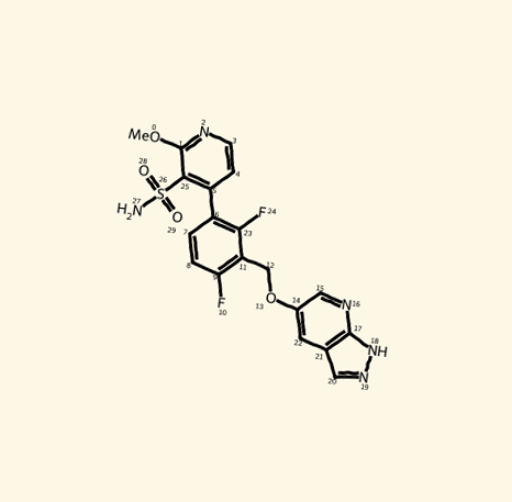 COc1nccc(-c2ccc(F)c(COc3cnc4[nH]ncc4c3)c2F)c1S(N)(=O)=O